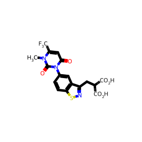 Cn1c(C(F)(F)F)cc(=O)n(-c2ccc3snc(CC(C(=O)O)C(=O)O)c3c2)c1=O